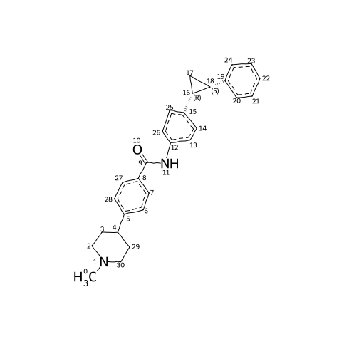 CN1CCC(c2ccc(C(=O)Nc3ccc([C@@H]4C[C@@H]4c4ccccc4)cc3)cc2)CC1